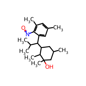 Cc1cc(C)c(N=O)c(C(C(C)C)C2CC(C)CC(C)(O)C2C)c1